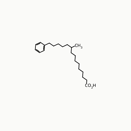 CC(CCCCCCCCC(=O)O)CCCCCc1ccccc1